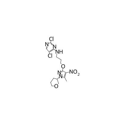 Cc1c([N+](=O)[O-])c(OCCCNc2nc(Cl)ncc2Cl)nn1C1CCCOC1